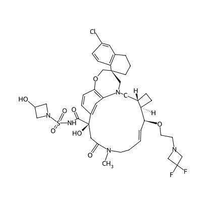 CN1CC/C=C/[C@H](OCCN2CC(F)(F)C2)[C@@H]2CC[C@H]2CN2C[C@@]3(CCCc4cc(Cl)ccc43)COc3ccc(cc32)[C@@](O)(C(=O)NS(=O)(=O)N2CC(O)C2)CC1=O